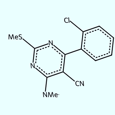 C[N]c1nc(SC)nc(-c2ccccc2Cl)c1C#N